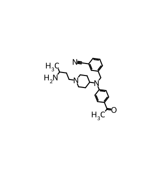 CC(=O)c1ccc(N(Cc2cccc(C#N)c2)C2CCN(CCC(C)N)CC2)cc1